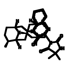 C[C@H]1CC[C@@H]2C[C@H](n3c(=O)c(N4C(=O)NC(C)(C)C4=O)nc4ccccc43)C[C@H]1N2[C@H]1C[C@@H]2CCC[C@@H](C2)C1